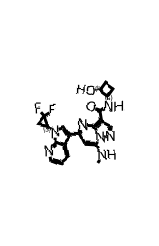 CNc1cc(-c2cn([C@H]3CC3(F)F)c3ncccc23)nc2c(C(=O)N[C@H]3CC[C@H]3O)cnn12